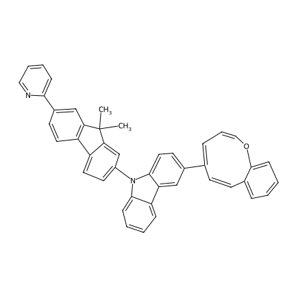 CC1(C)c2cc(-c3ccccn3)ccc2-c2ccc(-n3c4ccccc4c4cc(-c5cccoc6ccccc6cc5)ccc43)cc21